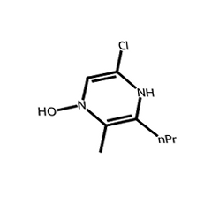 CCCC1=C(C)N(O)C=C(Cl)N1